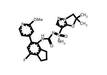 COc1cc(-c2cc(F)c3c(c2NC(=O)N=[S@](N)(=O)c2cnn4c2OC(C)(C)C4)CCC3)ccn1